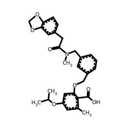 Cc1cc(OC(C)C)cc(OCc2cccc(CN(C)C(=O)Cc3ccc4c(c3)OCO4)c2)c1C(=O)O